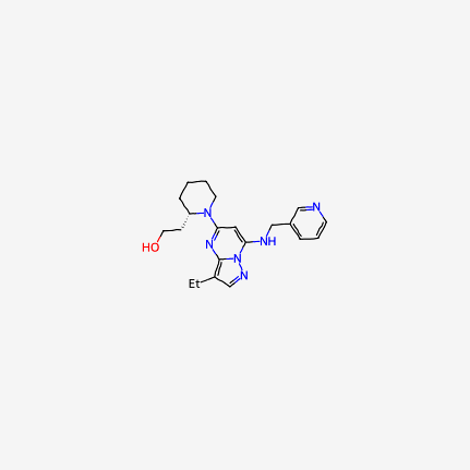 CCc1cnn2c(NCc3cccnc3)cc(N3CCCC[C@H]3CCO)nc12